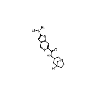 CCN(CC)c1cc2cnc(C(=O)N[C@@H]3C[C@H]4CCN(C4)C3)cc2s1